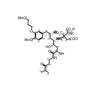 COCCCOc1cc(C[C@@H](C[C@H](N)[C@@H](O)C[C@H](C(=O)NCCC(=O)N(C)C)C(C)C)C(C)C)ccc1OC.O=C([O-])CC(O)(CC(=O)O)C(=O)O.[Na+]